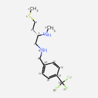 CN[C@@H](CCSC)CNCc1ccc(C(F)(F)F)cc1